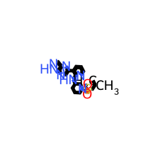 CC(C)CS(=O)(=O)N1CCCC(Nc2ncccc2-c2cnc3[nH]ncc3n2)C1